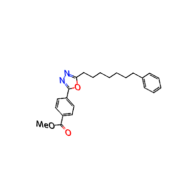 COC(=O)c1ccc(-c2nnc(CCCCCCCc3ccccc3)o2)cc1